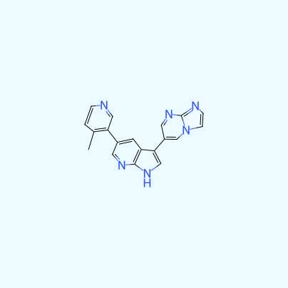 Cc1ccncc1-c1cnc2[nH]cc(-c3cnc4nccn4c3)c2c1